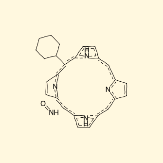 C1=Cc2cc3ccc([nH]3)c(C3CCCCC3)c3nc(cc4ccc(cc1n2)[nH]4)C=C3.N=O